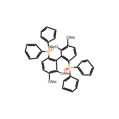 COc1ccc(P(=O)(c2ccccc2)c2ccccc2)c(-c2c(P(=O)(c3ccccc3)c3ccccc3)ccc(OC)c2OC)c1OC